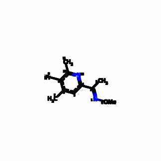 CO/N=C(\C)c1cc(C)c(C(C)C)c(C)n1